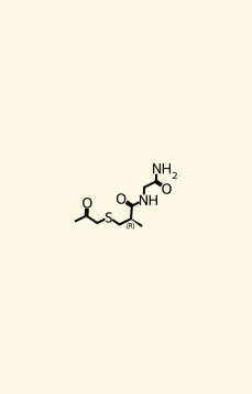 CC(=O)CSC[C@H](C)C(=O)NCC(N)=O